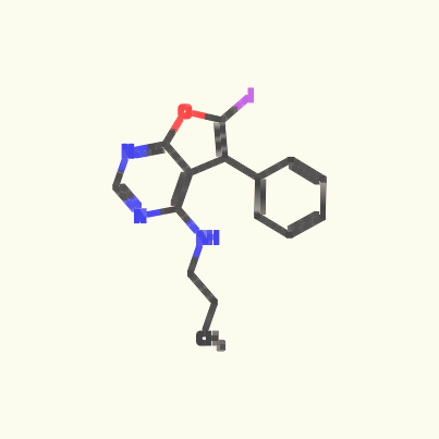 CCCNc1ncnc2oc(I)c(-c3ccccc3)c12